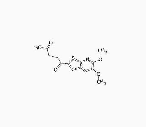 COc1cc2cc(C(=O)CCC(=O)O)sc2nc1OC